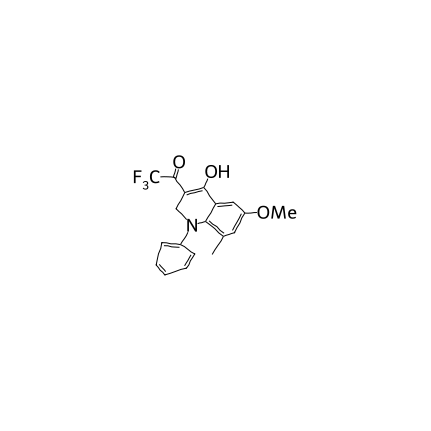 COc1cc(C)c2c(c1)C(O)=C(C(=O)C(F)(F)F)CN2c1ccccc1